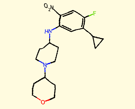 O=[N+]([O-])c1cc(F)c(C2CC2)cc1NC1CCN(C2CCOCC2)CC1